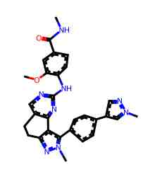 CNC(=O)c1ccc(Nc2ncc3c(n2)-c2c(nn(C)c2-c2ccc(-c4cnn(C)c4)cc2)CC3)c(OC)c1